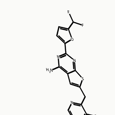 Nc1nc(-c2ccc(C(F)F)o2)nc2sc(Cc3ncccc3Br)cc12